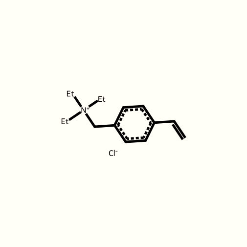 C=Cc1ccc(C[N+](CC)(CC)CC)cc1.[Cl-]